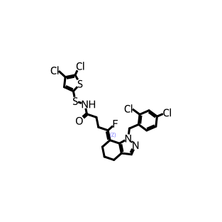 O=C(CC/C(F)=C1\CCCc2cnn(Cc3ccc(Cl)cc3Cl)c21)NSc1cc(Cl)c(Cl)s1